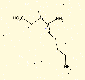 CN(CC(=O)O)/C(N)=N/SCCN